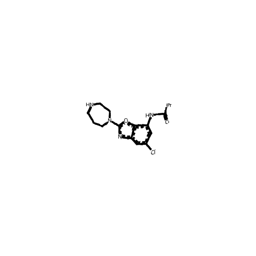 CC(C)C(=O)Nc1cc(Cl)cc2nc(N3CCCNCC3)oc12